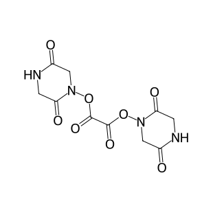 O=C1CN(OC(=O)C(=O)ON2CC(=O)NCC2=O)C(=O)CN1